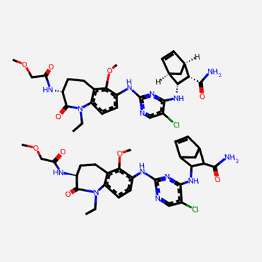 CCN1C(=O)[C@@H](NC(=O)COC)CCc2c1ccc(Nc1ncc(Cl)c(NC3C4C=CC(C4)C3C(N)=O)n1)c2OC.CCN1C(=O)[C@H](NC(=O)COC)CCc2c1ccc(Nc1ncc(Cl)c(N[C@H]3[C@@H](C(N)=O)[C@@H]4C=C[C@H]3C4)n1)c2OC